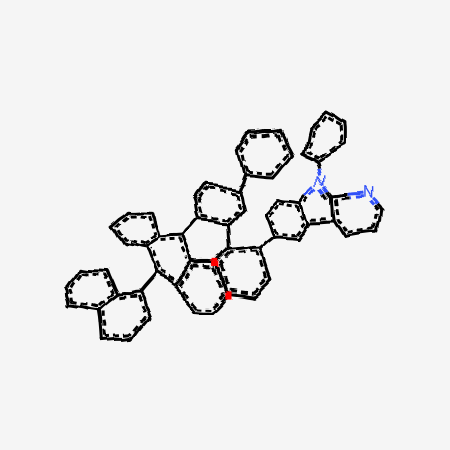 c1ccc(-c2ccc(-c3c4ccccc4c(-c4cccc5ccccc45)c4ccccc34)c(-c3ccccc3-c3ccc4c(c3)c3cccnc3n4-c3ccccc3)c2)cc1